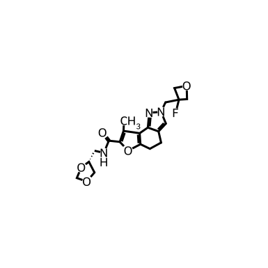 Cc1c(C(=O)NC[C@@H]2COCO2)oc2c1-c1nn(CC3(F)COC3)cc1CC2